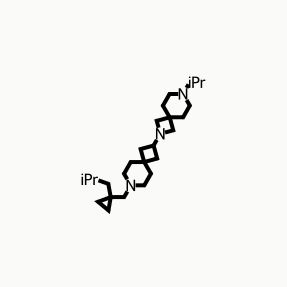 CC(C)CC1(CN2CCC3(CC2)CC(N2CC4(CCN(C(C)C)CC4)C2)C3)CC1